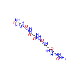 CN[C@@H](CCCCNCC(=O)CNCNC(=O)CCCC(=O)NCNCC(=O)CNCCCC[C@@H](NC)C(=O)NCCCC[C@H](NC)C(N)=O)C(N)=O